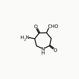 NC1CNC(=O)CC(C=O)C1=O